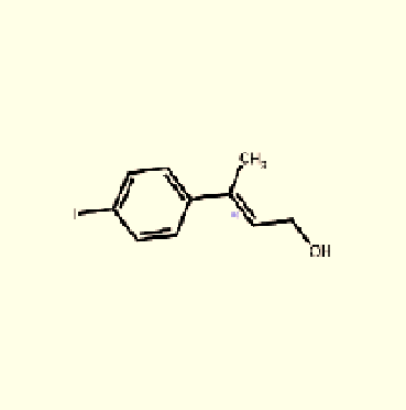 C/C(=C\CO)c1ccc(I)cc1